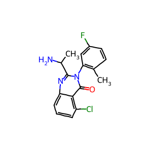 Cc1ccc(F)cc1-n1c(C(C)N)nc2cccc(Cl)c2c1=O